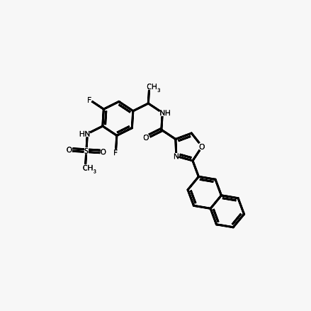 CC(NC(=O)c1coc(-c2ccc3ccccc3c2)n1)c1cc(F)c(NS(C)(=O)=O)c(F)c1